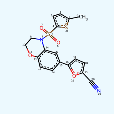 Cc1ccc(S(=O)(=O)N2CCOc3ccc(-c4ccc(C#N)o4)cc32)s1